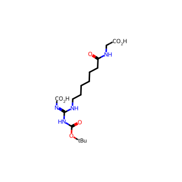 CC(C)(C)OC(=O)NC(=NC(=O)O)NCCCCCCC(=O)NCC(=O)O